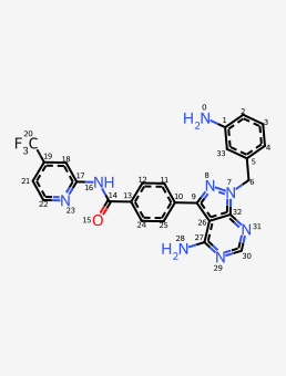 Nc1cccc(Cn2nc(-c3ccc(C(=O)Nc4cc(C(F)(F)F)ccn4)cc3)c3c(N)ncnc32)c1